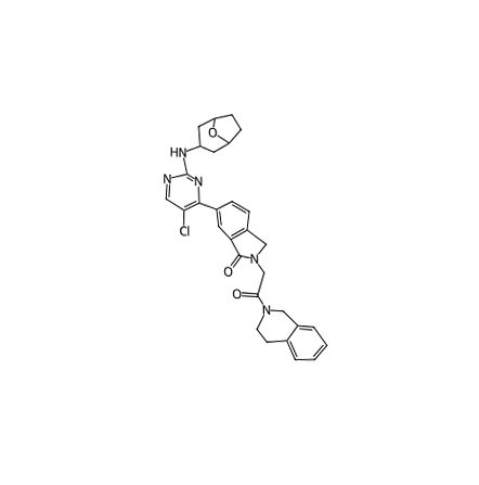 O=C(CN1Cc2ccc(-c3nc(NC4CC5CCC(C4)O5)ncc3Cl)cc2C1=O)N1CCc2ccccc2C1